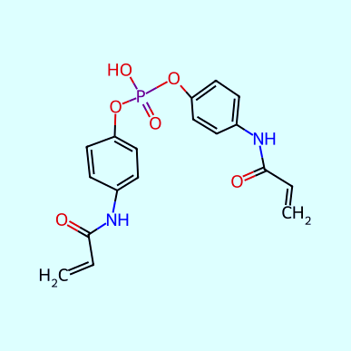 C=CC(=O)Nc1ccc(OP(=O)(O)Oc2ccc(NC(=O)C=C)cc2)cc1